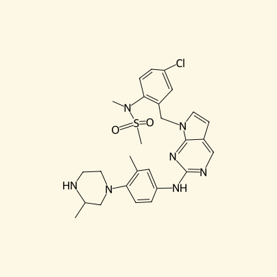 Cc1cc(Nc2ncc3ccn(Cc4cc(Cl)ccc4N(C)S(C)(=O)=O)c3n2)ccc1N1CCNC(C)C1